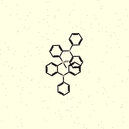 C[Si](N)(c1ccccc1N(c1ccccc1)c1ccccc1)c1ccccc1N(c1ccccc1)c1ccccc1